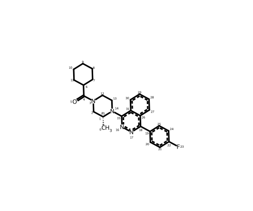 C[C@@H]1CN(C(=O)C2CCCCC2)CCN1c1nnc(-c2ccc(F)cc2)c2ccccc12